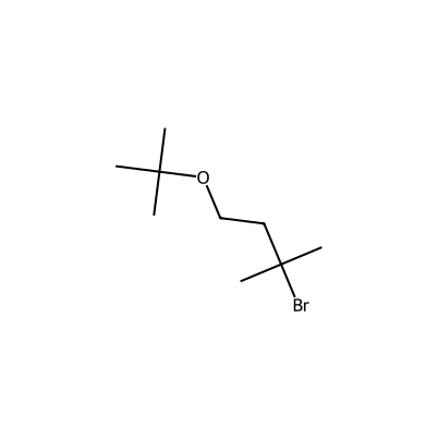 CC(C)(Br)CCOC(C)(C)C